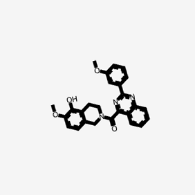 COc1cccc(-c2nc(C(=O)N3CCc4c(ccc(OC)c4O)C3)c3ccccc3n2)c1